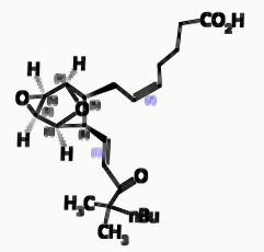 CCCCC(C)(C)C(=O)/C=C/[C@@H]1[C@H](C/C=C\CCCC(=O)O)[C@H]2O[C@@H]1[C@H]1O[C@H]12